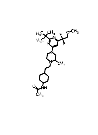 COCC(F)(F)c1cc(N2CCN(CCC3CCC(NC(C)=O)CC3)C(C)C2)nc(C(C)(C)C)n1